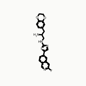 NC(CNc1ncc(-c2ccc3cnc(F)cc3c2)s1)Cc1ccc2c(c1)OCCO2